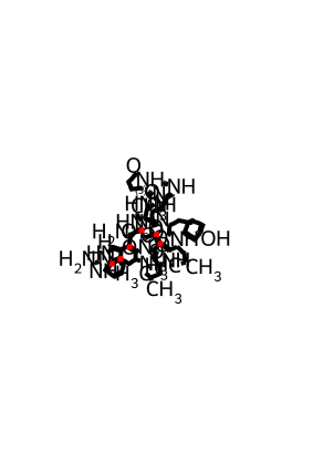 CCN(C(=O)C(Cc1c[nH]cn1)NC(=O)[C@@H]1CCC(=O)N1)C(=O)[C@@H]1CCCN1C(=O)C(CCCNC(=N)N)NC(=O)C(CC(C)C)NC(=O)C(CC(C)C)NC(=O)C(Cc1ccc(O)cc1)NC(=O)C(CO)NC(=O)C(N)Cc1c[nH]c2ccccc12